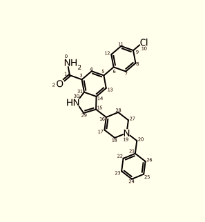 NC(=O)c1cc(-c2ccc(Cl)cc2)cc2c(C3=CCN(Cc4ccccc4)CC3)c[nH]c12